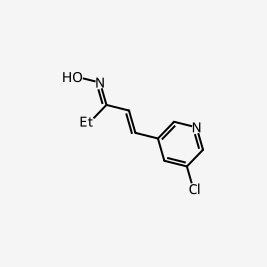 CCC(/C=C/c1cncc(Cl)c1)=N\O